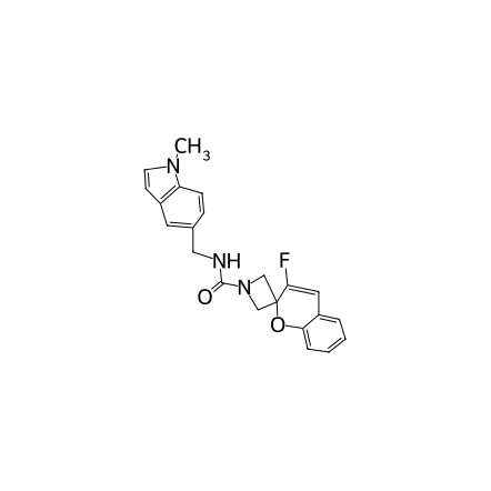 Cn1ccc2cc(CNC(=O)N3CC4(C3)Oc3ccccc3C=C4F)ccc21